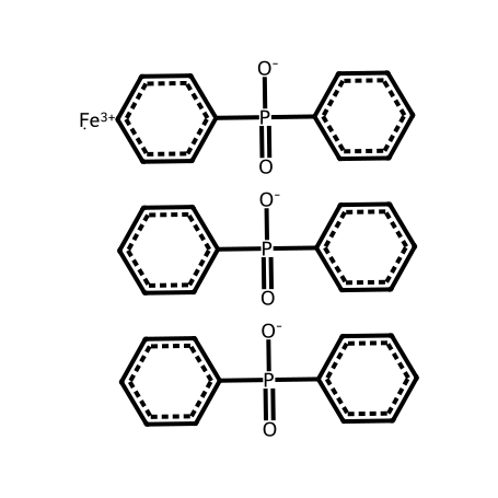 O=P([O-])(c1ccccc1)c1ccccc1.O=P([O-])(c1ccccc1)c1ccccc1.O=P([O-])(c1ccccc1)c1ccccc1.[Fe+3]